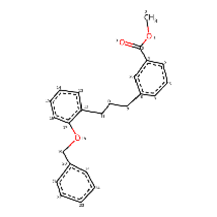 COC(=O)c1cccc(CCCc2ccccc2OCc2ccccc2)c1